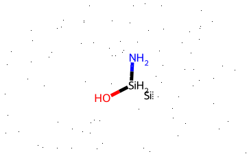 N[SiH2]O.[Si]